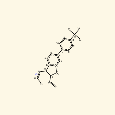 C=CC1Sc2cc(-c3ccc(C(C)(C)C)cc3)ccc2C1/C=C\C